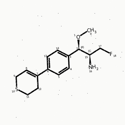 CO[C@H](c1ccc(C2=CCSCC2)cc1)[C@H](N)CF